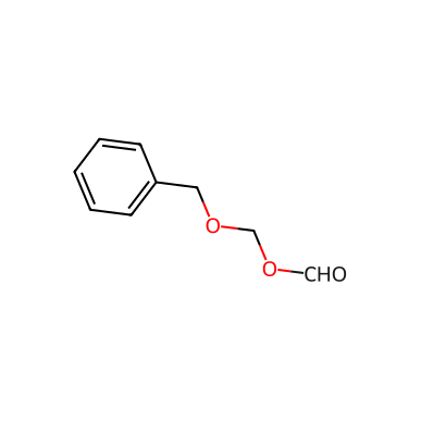 O=COCOCc1ccccc1